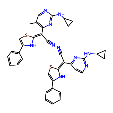 Cc1cnc(NC2CC2)nc1C(C#N)=C1NC(c2ccccc2)=CS1.N#CC(=C1NC(c2ccccc2)=CS1)c1ccnc(NC2CC2)n1